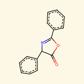 O=C1OC(c2ccccc2)=NC1c1ccccc1